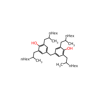 CCCCCCC(C)Cc1cc(Cc2cc(CC(C)CCCCCC)c(O)c(CC(C)CCCCCC)c2)cc(CC(C)CCCCCC)c1O